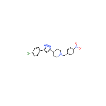 O=[N+]([O-])c1ccc(CN2CCC(c3cc(-c4ccc(Cl)cc4)[nH]n3)CC2)cc1